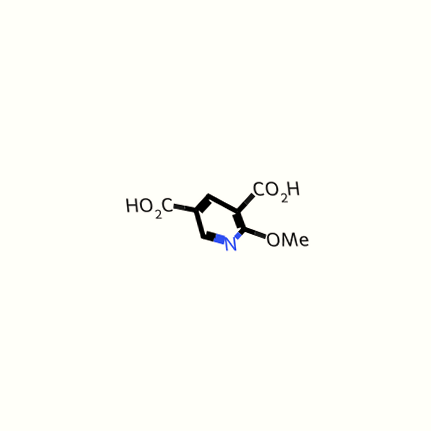 COc1ncc(C(=O)O)cc1C(=O)O